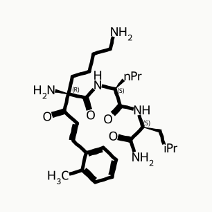 CCC[C@H](NC(=O)[C@@](N)(CCCCN)C(=O)C=Cc1ccccc1C)C(=O)N[C@@H](CC(C)C)C(N)=O